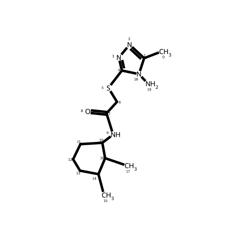 Cc1nnc(SCC(=O)NC2CCCC(C)C2C)n1N